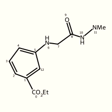 CCOC(=O)c1cccc(NCC(=O)NNC)c1